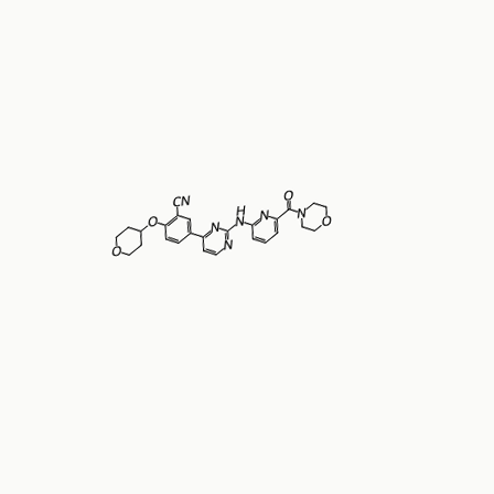 N#Cc1cc(-c2ccnc(Nc3cccc(C(=O)N4CCOCC4)n3)n2)ccc1OC1CCOCC1